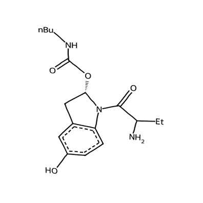 CCCCNC(=O)O[C@H]1Cc2cc(O)ccc2N1C(=O)C(N)CC